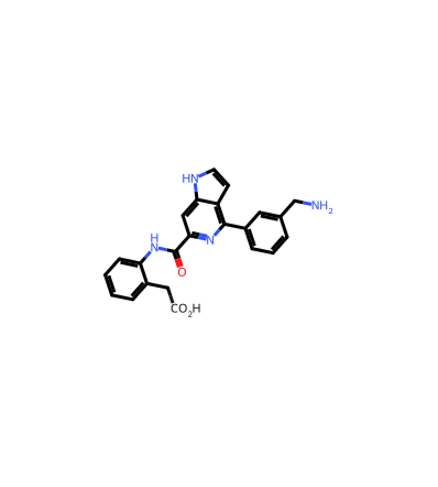 NCc1cccc(-c2nc(C(=O)Nc3ccccc3CC(=O)O)cc3[nH]ccc23)c1